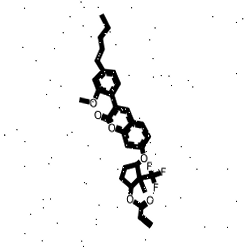 C=CC(=O)OC1CCC(Oc2ccc3cc(-c4ccc(CCCCC)cc4OC)c(=O)oc3c2)C1(C)C(F)(F)F